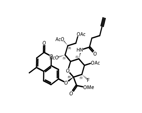 C#CCCC(=O)N[C@H]1C([C@H](OC(C)=O)[C@@H](COC(C)=O)OC(C)=O)O[C@@](Oc2ccc3c(C)cc(=O)oc3c2)(C(=O)OC)[C@@H](F)C1OC(C)=O